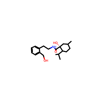 CC1CCC(C(C)C)[C@@](O)(C(=O)NCCc2ccccc2CO)C1